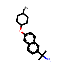 CC(C)(N)c1ccc2cc(OC3CCC(C(C)(C)C)CC3)ccc2c1